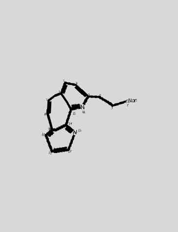 CCCCCCCCCCCc1ccc2ccc3cccnc3c2n1